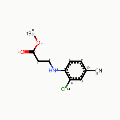 CC(C)(C)OC(=O)CCNc1ccc(C#N)cc1Cl